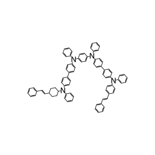 C(=Cc1ccc(N(c2ccccc2)c2ccc(-c3ccc(N(c4ccccc4)c4ccc(N(c5ccccc5)c5ccc(-c6ccc(N(c7ccccc7)C7CCC(C=Cc8ccccc8)CC7)cc6)cc5)cc4)cc3)cc2)cc1)c1ccccc1